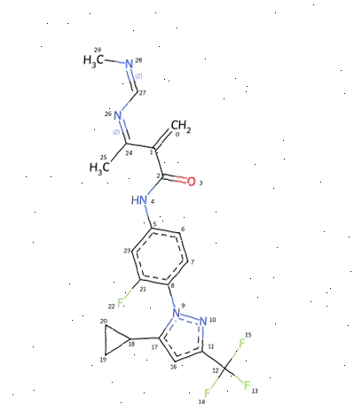 C=C(C(=O)Nc1ccc(-n2nc(C(F)(F)F)cc2C2CC2)c(F)c1)/C(C)=N\C=N/C